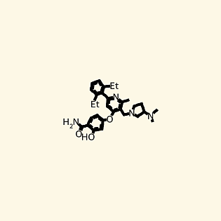 CCc1cccc(CC)c1-c1cc(Oc2ccc(C(N)=O)c(O)c2)c(CN2CCC(N(C)C)C2)c(C)n1